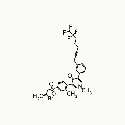 C=C(Br)CS(=O)(=O)c1ccc(-c2cn(C)cc(-c3cccc(CC#CCCCC(F)(F)C(F)F)c3)c2=O)c(C)c1